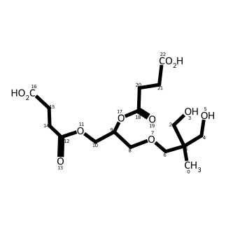 CC(CO)(CO)COCC(COC(=O)CCC(=O)O)OC(=O)CCC(=O)O